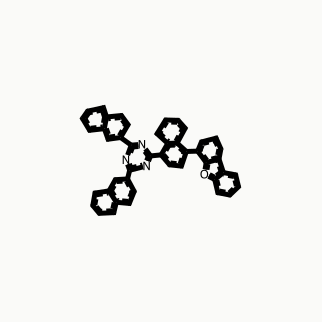 c1ccc2cc(-c3nc(-c4ccc5ccccc5c4)nc(-c4ccc(-c5cccc6c5oc5ccccc56)c5ccccc45)n3)ccc2c1